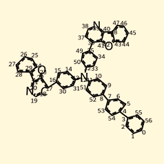 c1ccc(-c2ccc(-c3ccc(N(c4ccc(-c5ccnc6c5oc5ccccc56)cc4)c4ccc(-c5ccnc6c5oc5ccccc56)cc4)cc3)cc2)cc1